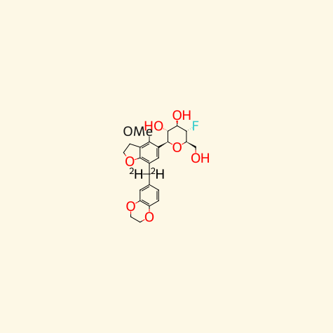 [2H]C([2H])(c1ccc2c(c1)OCCO2)c1cc([C@@H]2O[C@H](CO)[C@@H](F)[C@H](O)[C@H]2O)c(OC)c2c1OCC2